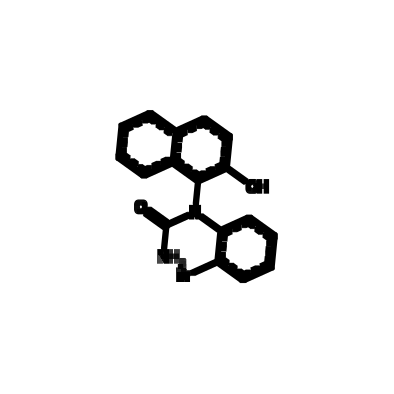 NC(=O)N(c1ccccc1Br)c1c(O)ccc2ccccc12